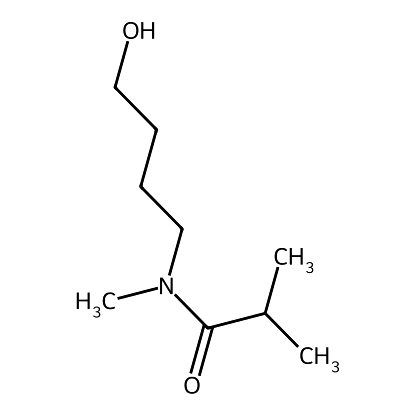 CC(C)C(=O)N(C)CCCCO